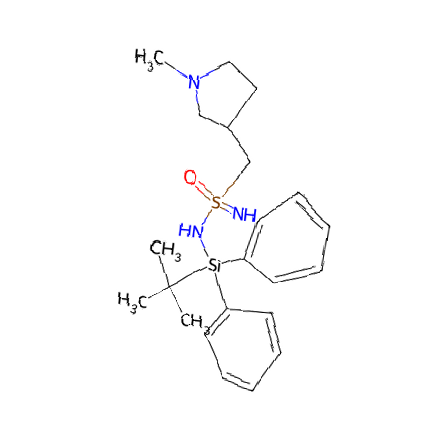 CN1CCC(CS(=N)(=O)N[Si](c2ccccc2)(c2ccccc2)C(C)(C)C)C1